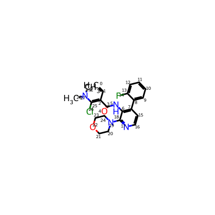 C=C/C(C(=O)Nc1c(-c2ccccc2F)ccnc1N1CCOCC1)=C(/Cl)N(C)C